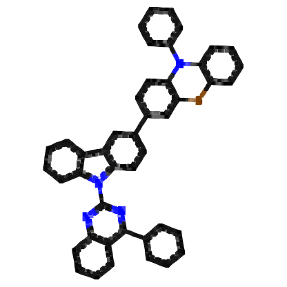 c1ccc(-c2nc(-n3c4ccccc4c4cc(-c5ccc6c(c5)Sc5ccccc5N6c5ccccc5)ccc43)nc3ccccc23)cc1